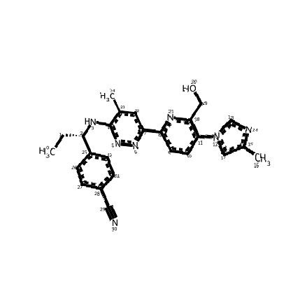 CC[C@H](Nc1nnc(-c2ccc(-n3cnc(C)c3)c(CO)n2)cc1C)c1ccc(C#N)cc1